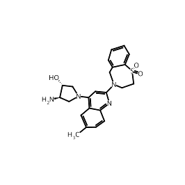 Cc1ccc2nc(N3CCS(=O)(=O)c4ccccc4C3)cc(N3C[C@@H](N)[C@H](O)C3)c2c1